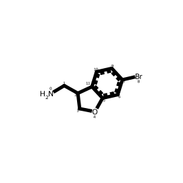 NCC1COc2cc(Br)ccc21